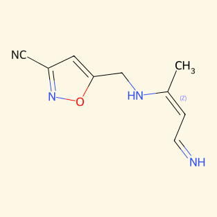 C/C(=C/C=N)NCc1cc(C#N)no1